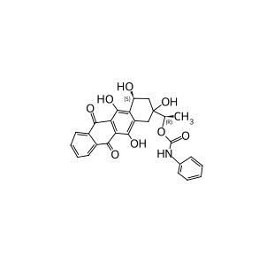 C[C@@H](OC(=O)Nc1ccccc1)C1(O)Cc2c(O)c3c(c(O)c2[C@@H](O)C1)C(=O)c1ccccc1C3=O